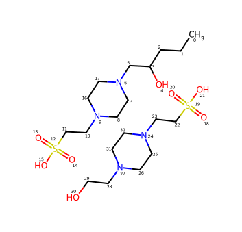 CCCC(O)CN1CCN(CCS(=O)(=O)O)CC1.O=S(=O)(O)CCN1CCN(CCO)CC1